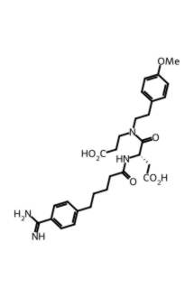 COc1ccc(CCN(CCC(=O)O)C(=O)[C@H](CC(=O)O)NC(=O)CCCCc2ccc(C(=N)N)cc2)cc1